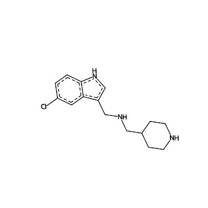 Clc1ccc2[nH]cc(CNCC3CCNCC3)c2c1